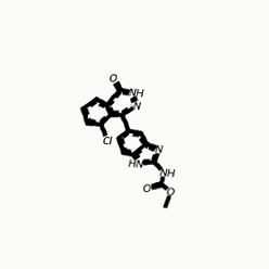 COC(=O)Nc1nc2cc(-c3n[nH]c(=O)c4cccc(Cl)c34)ccc2[nH]1